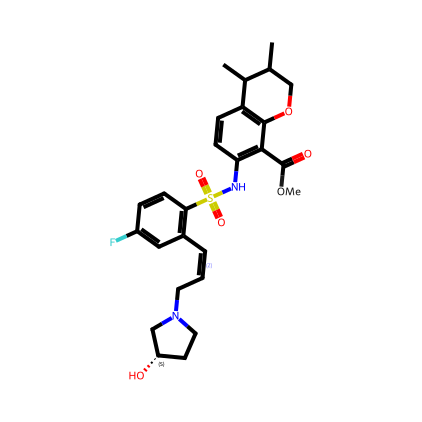 COC(=O)c1c(NS(=O)(=O)c2ccc(F)cc2/C=C\CN2CC[C@H](O)C2)ccc2c1OCC(C)C2C